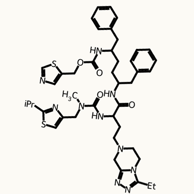 CCc1nnc2n1CCN(CCC(NC(=O)N(C)Cc1csc(C(C)C)n1)C(=O)NC(CCC(Cc1ccccc1)NC(=O)OCc1cncs1)Cc1ccccc1)C2